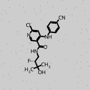 CC(C)(O)[C@H](F)CNC(=O)c1cnc(Cl)cc1Nc1ccc(C#N)cc1